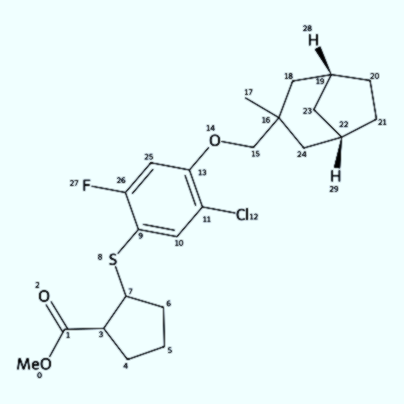 COC(=O)C1CCCC1Sc1cc(Cl)c(OCC2(C)C[C@@H]3CC[C@@H](C3)C2)cc1F